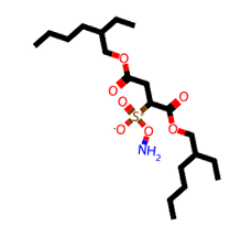 CCCCC(CC)COC(=O)CC(C(=O)OCC(CC)CCCC)[S+]([O])(=O)ON